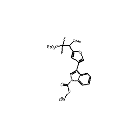 CCOC(=O)C(F)(F)C(OC)c1cc(-c2cn(C(=O)OC(C)(C)C)c3ccccc23)co1